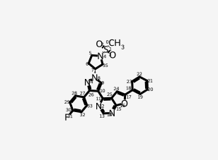 CS(=O)(=O)N1CC[C@@H](n2cc(-c3ncnc4oc(-c5ccccc5)cc34)c(-c3ccc(F)cc3)n2)C1